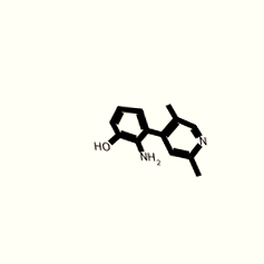 Cc1cc(-c2cccc(O)c2N)c(C)cn1